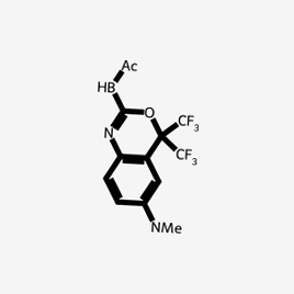 CNc1ccc2c(c1)C(C(F)(F)F)(C(F)(F)F)OC(BC(C)=O)=N2